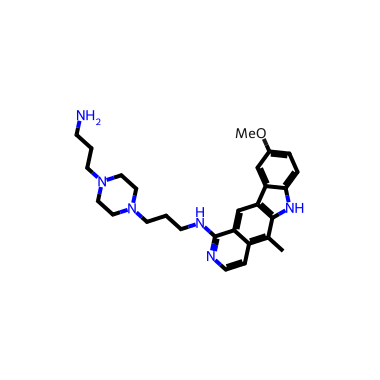 COc1ccc2[nH]c3c(C)c4ccnc(NCCCN5CCN(CCCN)CC5)c4cc3c2c1